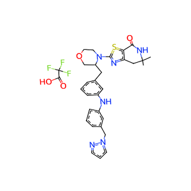 CC1(C)Cc2nc(N3CCOCC3Cc3cccc(Nc4cccc(Cn5cccn5)c4)c3)sc2C(=O)N1.O=C(O)C(F)(F)F